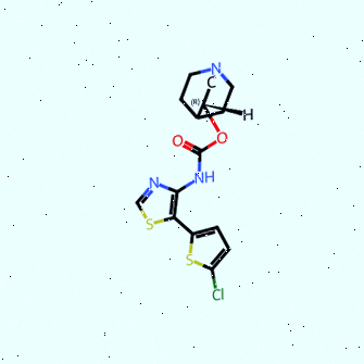 O=C(Nc1ncsc1-c1ccc(Cl)s1)O[C@H]1CN2CCC1CC2